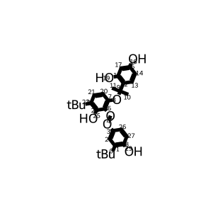 CC(C)(C)c1cc(OOc2c(OC(C)(C)c3ccc(O)cc3O)ccc(C(C)(C)C)c2O)ccc1O